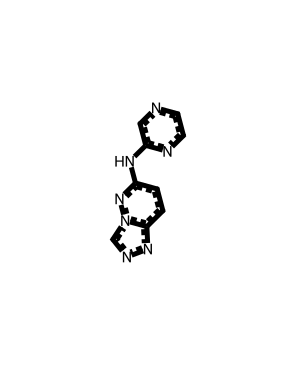 c1cnc(Nc2ccc3nncn3n2)cn1